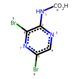 O=C(O)Nc1ncc(Br)nc1Br